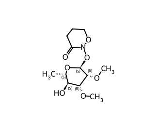 CO[C@@H]1[C@@H](O)[C@H](C)O[C@@H](ON2OCCCC2=O)[C@@H]1OC